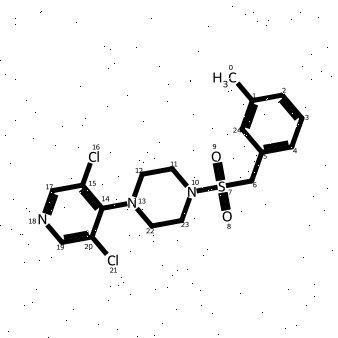 Cc1cccc(CS(=O)(=O)N2CCN(c3c(Cl)cncc3Cl)CC2)c1